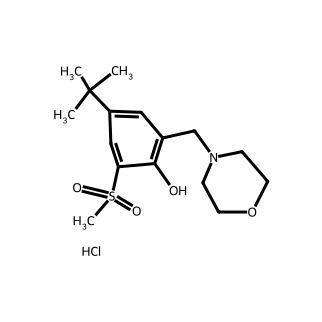 CC(C)(C)c1cc(CN2CCOCC2)c(O)c(S(C)(=O)=O)c1.Cl